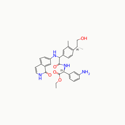 CCOC(=O)[C@@H](NC(=O)C(Nc1ccc2cc[nH]c(=O)c2c1)c1ccc([C@@H](C)CO)c(C)c1)c1cccc(N)c1